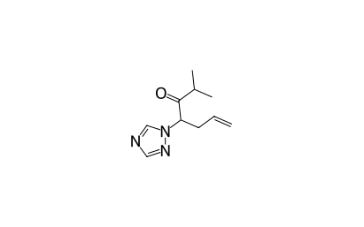 C=CCC(C(=O)C(C)C)n1cncn1